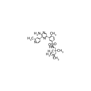 Cc1cc(-c2nc(-c3cc(S(=O)(=O)NCC(C)(C)CN(C)C)ccc3C)cnc2N)ccn1